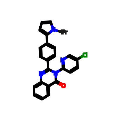 CC(C)n1cccc1-c1ccc(-c2nc3ccccc3c(=O)n2-c2ccc(Cl)cn2)cc1